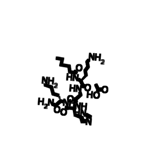 CC(=O)O.CCCCCC(=O)N[C@@H](CCCCN)C(=O)NCC(=O)N[C@@H](Cc1cnc[nH]1)C(=O)N[C@@H](CCCCN)C(N)=O